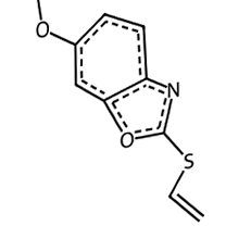 C=CSc1nc2ccc(OC)cc2o1